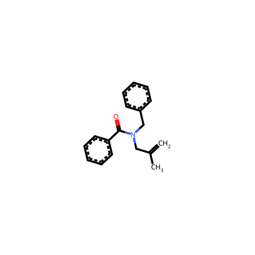 C=C(C)CN(Cc1ccccc1)C(=O)c1ccccc1